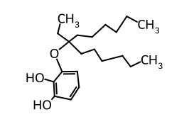 CCCCCCC(CC)(CCCCCC)Oc1cccc(O)c1O